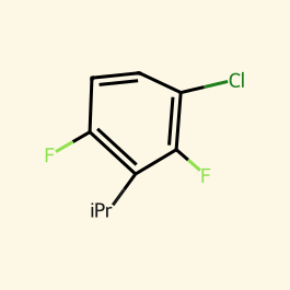 CC(C)c1c(F)ccc(Cl)c1F